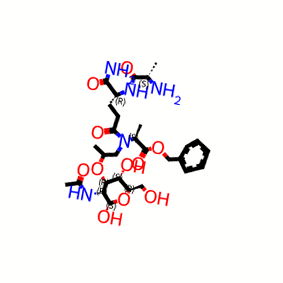 CC(=O)N[C@@H]1[C@@H](OC(C)CN(C(=O)CC[C@@H](NC(=O)[C@H](C)N)C(N)=O)[C@@H](C)C(=O)OCc2ccccc2)[C@H](O)[C@@H](CO)O[C@@H]1O